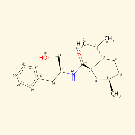 CC(C)[C@@H]1CC[C@@H](C)C[C@H]1C(=O)N[C@H](CO)Cc1ccccc1